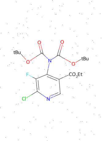 CCOC(=O)c1cnc(Cl)c(F)c1N(C(=O)OC(C)(C)C)C(=O)OC(C)(C)C